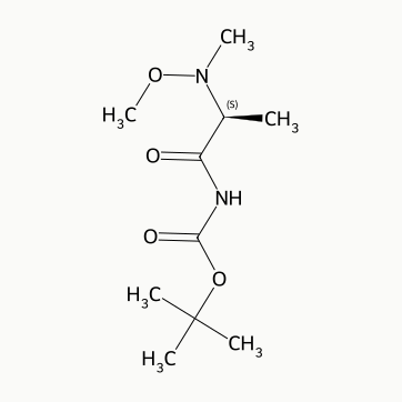 CON(C)[C@@H](C)C(=O)NC(=O)OC(C)(C)C